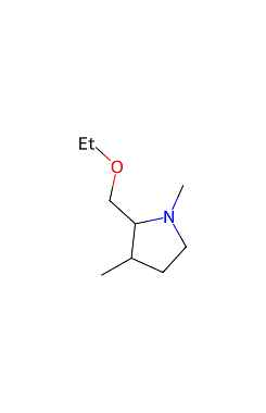 CCOCC1C(C)CCN1C